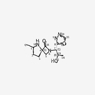 CC1CC[C@@]2(CN([C@H](c3nnco3)[C@@H](C)O)C2=O)N1